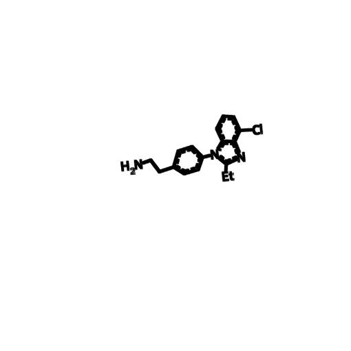 CCc1nc2c(Cl)cccc2n1-c1ccc(CCN)cc1